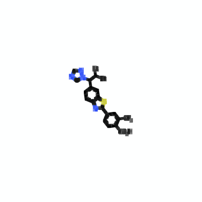 CCC(CC)C(c1ccc2nc(-c3ccc(C(=O)O)c(C(F)(F)F)c3)sc2c1)n1cncn1